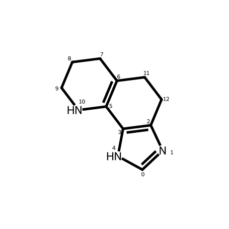 c1nc2c([nH]1)C1=C(CCCN1)CC2